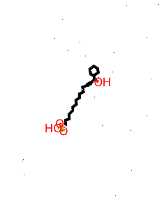 O=S(=O)(O)CCCCCCCCCCCCC#CC(O)C1CCCCC1